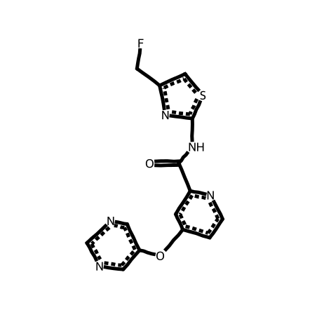 O=C(Nc1nc(CF)cs1)c1cc(Oc2cncnc2)ccn1